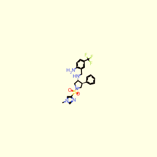 Cn1cnc(S(=O)(=O)N2C[C@H](NCc3cc(C(F)(F)F)ccc3N)[C@@H](c3ccccc3)C2)c1